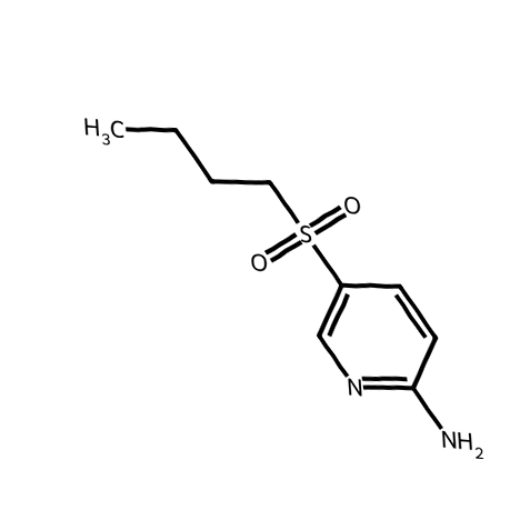 CCCCS(=O)(=O)c1ccc(N)nc1